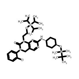 CC(C)[Si](OCCN1C(=O)N(c2ccccc2Cl)Cc2cnc(N[C@H]3CC[C@H](O[Si](C)(C)C(C)(C)C)CC3)nc21)(C(C)C)C(C)C